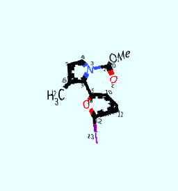 COC(=O)n1ccc(C)c1-c1ccc(I)o1